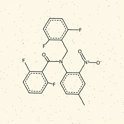 Cc1ccc(N(Cc2c(F)cccc2F)C(=O)c2c(F)cccc2F)c([N+](=O)[O-])c1